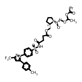 Cc1ccc(-c2cc(C(F)(F)F)nn2-c2ccc(S(=O)(=O)NC(=O)CCC(=O)OC[C@@H]3CCCN3[N+]([O-])=NOC(C)OC(=O)C(C)C)cc2)cc1